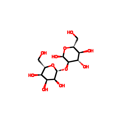 OC[C@@H]1O[C@H](O[C@@H]2[C@@H](O)[C@H](O)[C@@H](CO)O[C@@H]2O)[C@@H](O)[C@@H](O)[C@H]1O